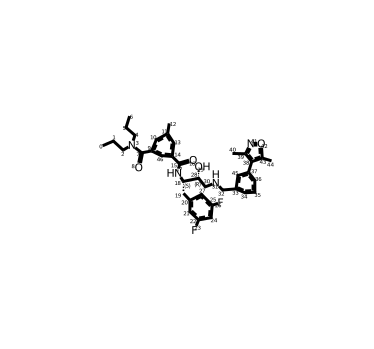 CCCN(CCC)C(=O)c1cc(C)cc(C(=O)N[C@@H](Cc2cc(F)cc(F)c2)[C@H](O)CNCc2cccc(-c3c(C)noc3C)c2)c1